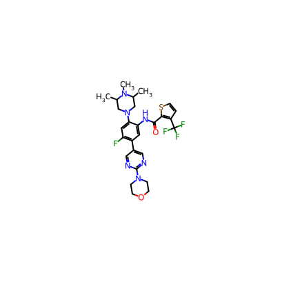 CC1CN(c2cc(F)c(-c3cnc(N4CCOCC4)nc3)cc2NC(=O)c2sccc2C(F)(F)F)CC(C)N1C